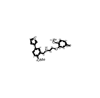 COc1ccc(-c2ccsc2)cc1CNCCOc1cc(F)ccc1OC(C)C